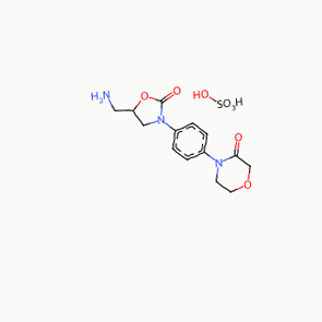 NCC1CN(c2ccc(N3CCOCC3=O)cc2)C(=O)O1.O=S(=O)(O)O